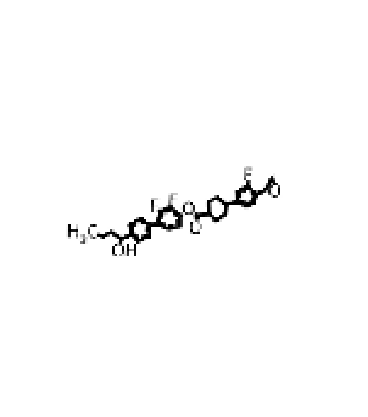 CCCC(O)c1ccc(-c2ccc(OC(=O)C3CCC(c4ccc(C5CO5)c(F)c4)CC3)c(F)c2F)cc1